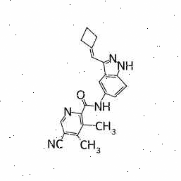 Cc1c(C#N)cnc(C(=O)Nc2ccc3[nH]nc(C=C4CCC4)c3c2)c1C